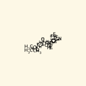 CC(C)(C)OC(=O)N1CCN(C(=O)[C@@H]2CN(c3ccc(C#N)c(C(F)(F)F)c3)[C@@H](C(F)(F)F)O2)CC1